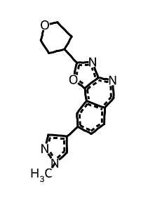 Cn1cc(-c2ccc3cnc4nc(C5CCOCC5)oc4c3c2)cn1